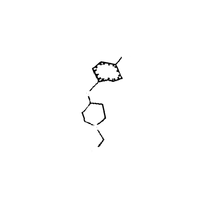 CCN1CCC(Nc2ccc(C)cc2)CC1